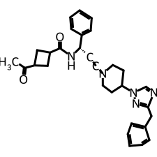 CC(=O)C1CC(C(=O)N[C@@H](CCN2CCC(n3cnc(Cc4ccccc4)n3)CC2)c2ccccc2)C1